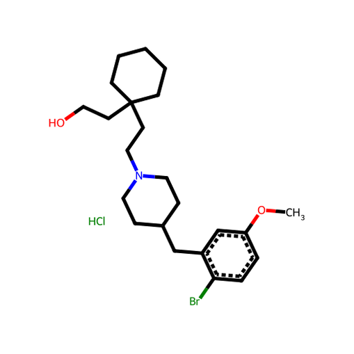 COc1ccc(Br)c(CC2CCN(CCC3(CCO)CCCCC3)CC2)c1.Cl